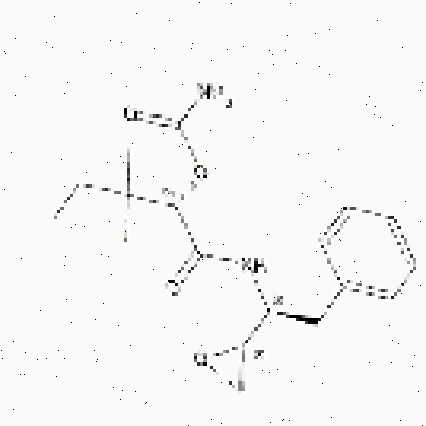 CCC(C)(C)[C@H](OC(N)=O)C(=O)N[C@@H](Cc1ccccc1)[C@@H]1CO1